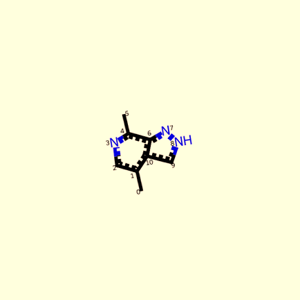 Cc1cnc(C)c2n[nH]cc12